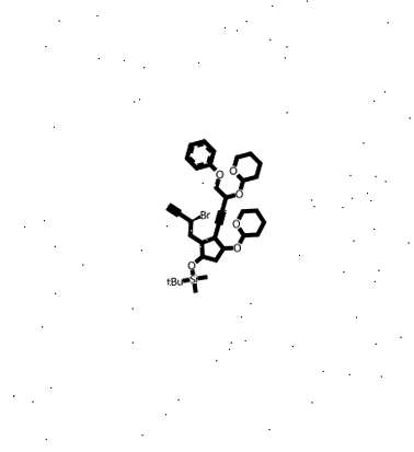 C#C[C@@H](Br)CC1C(O[Si](C)(C)C(C)(C)C)CC(OC2CCCCO2)C1C#CC(COc1ccccc1)OC1CCCCO1